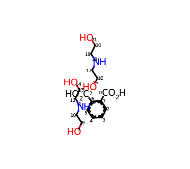 O=C(O)c1ccccc1C(=O)O.OCCNCCO.OCCNCCO